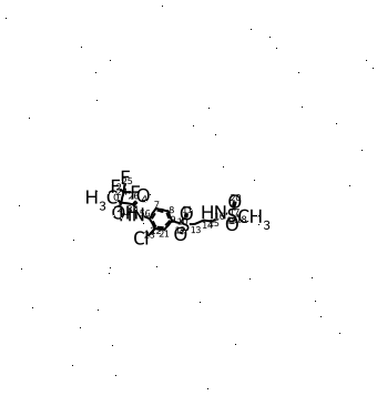 CC(O)(C(=O)Nc1ccc(S(=O)(=O)CCCNS(C)(=O)=O)cc1Cl)C(F)(F)F